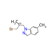 Cc1ccc2cnn(C[C@H](C)CBr)c2c1